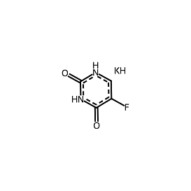 O=c1[nH]cc(F)c(=O)[nH]1.[KH]